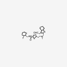 CN(CCc1nc(C(=O)NCc2ncccc2F)cs1)Cc1nc2ccccc2n1CC=O